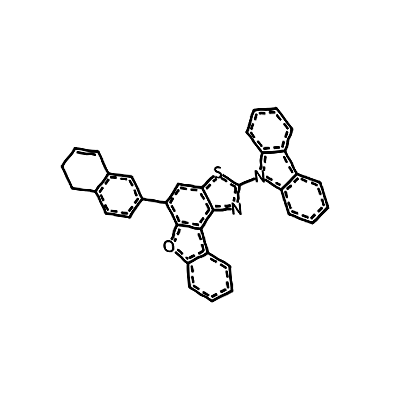 C1=Cc2cc(-c3cc4sc(-n5c6ccccc6c6ccccc65)nc4c4c3oc3ccccc34)ccc2CC1